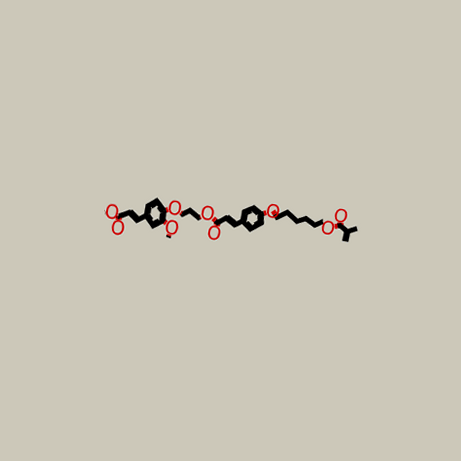 C=C(C)C(=O)OCCCCCCOc1ccc(/C=C/C(=O)OCCCOc2ccc(/C=C/C(=O)OC)cc2OC)cc1